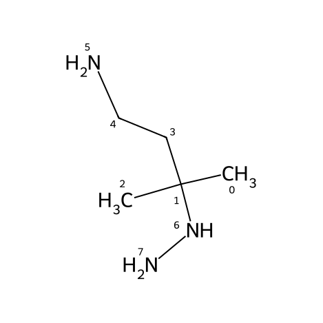 CC(C)(CCN)NN